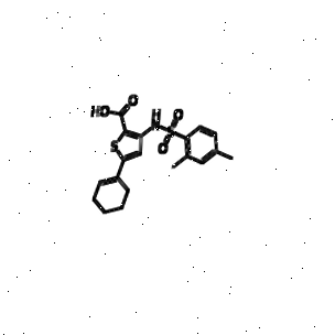 Cc1ccc(S(=O)(=O)Nc2cc(C3=CCCCC3)sc2C(=O)O)c(C)c1